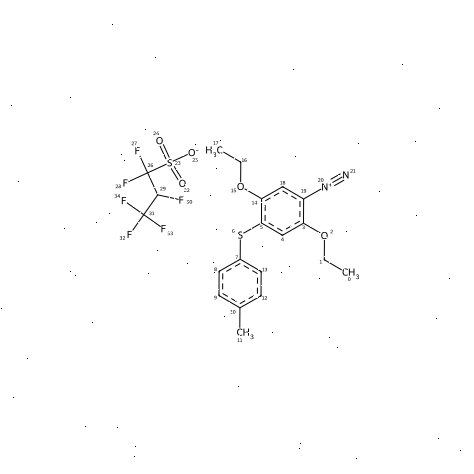 CCOc1cc(Sc2ccc(C)cc2)c(OCC)cc1[N+]#N.O=S(=O)([O-])C(F)(F)C(F)C(F)(F)F